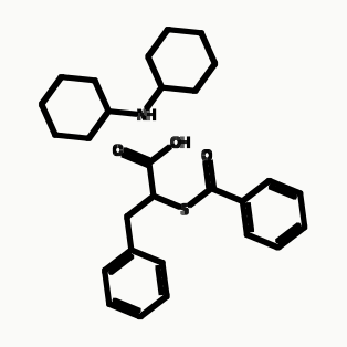 C1CCC(NC2CCCCC2)CC1.O=C(SC(Cc1ccccc1)C(=O)O)c1ccccc1